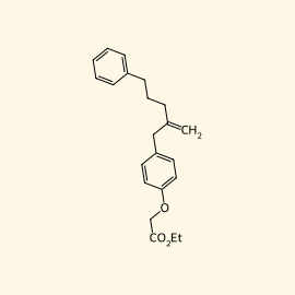 C=C(CCCc1ccccc1)Cc1ccc(OCC(=O)OCC)cc1